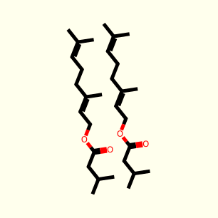 CC(C)=CCC/C(C)=C/COC(=O)CC(C)C.CC(C)=CCC/C(C)=C/COC(=O)CC(C)C